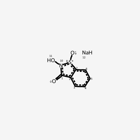 O=c1c2ccccc2[s+]([O-])n1O.[NaH]